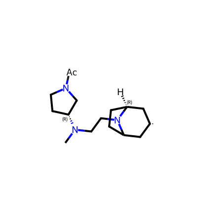 CC(=O)N1CC[C@@H](N(C)CCN2C3C[CH]C[C@@H]2CC3)C1